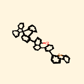 c1ccc2c(c1)-c1ccccc1C21c2ccccc2-c2c(-c3ccc4c5c(cccc35)-c3cc(-c5cccc6c5sc5ccccc56)ccc3O4)cccc21